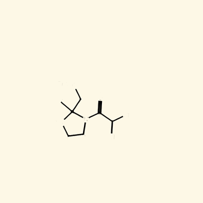 CCOC(=O)CC1(C)SCCN1C(=O)C(Cl)Cl